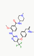 C=C(Cc1ccc(Oc2nc(Nc3ccc(C(=O)NC4CCN(C)CC4)cc3OC)ncc2C(F)(F)F)cc1)NC